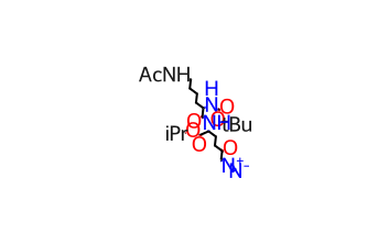 CC(=O)NCCCCC(NC(=O)OC(C)(C)C)C(=O)NC(CCC(=O)C=[N+]=[N-])C(=O)OC(C)C